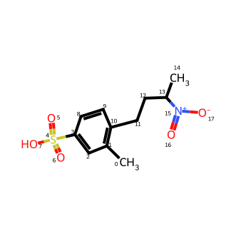 Cc1cc(S(=O)(=O)O)ccc1CCC(C)[N+](=O)[O-]